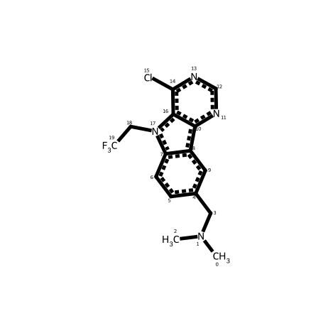 CN(C)Cc1ccc2c(c1)c1ncnc(Cl)c1n2CC(F)(F)F